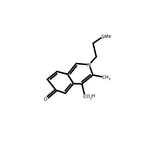 CSCCn1cc2ccc(=O)cc-2c(C(=O)O)c1C